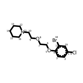 Clc1ccc(OCCOCCN2CCCCC2)c(Br)c1